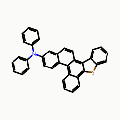 c1ccc(N(c2ccccc2)c2ccc3c(ccc4c3c3ccccc3c3sc5ccccc5c43)c2)cc1